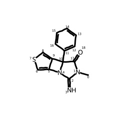 CN1C(=N)N2c3cscc3C2(c2ccccc2)C1=O